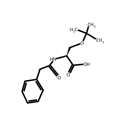 CC(C)(C)OC[C@H](NC(=O)Cc1ccccc1)C(=O)O